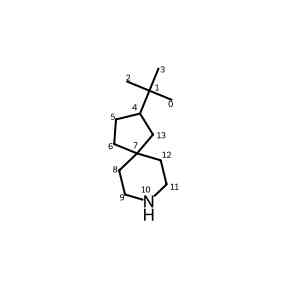 CC(C)(C)C1CCC2(CCNCC2)C1